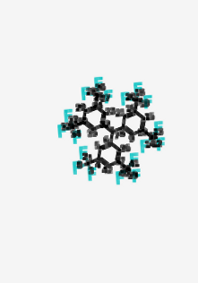 FC(F)(F)c1cc([C](c2cc(C(F)(F)F)cc(C(F)(F)F)c2)c2cc(C(F)(F)F)cc(C(F)(F)F)c2)cc(C(F)(F)F)c1